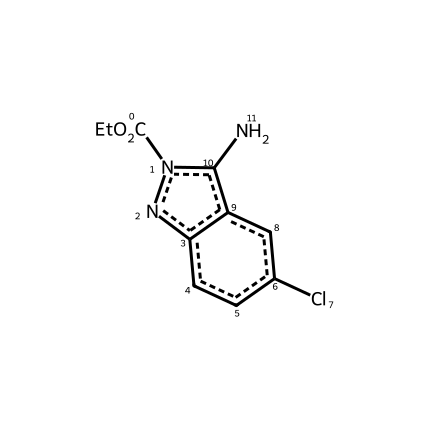 CCOC(=O)n1nc2ccc(Cl)cc2c1N